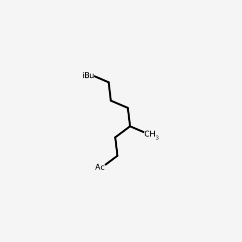 CCC(C)CCCC(C)CCC(C)=O